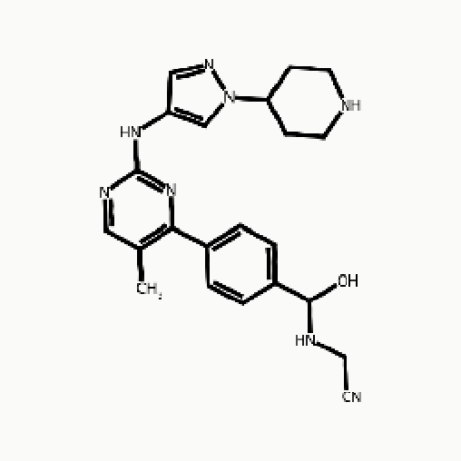 Cc1cnc(Nc2cnn(C3CCNCC3)c2)nc1-c1ccc(C(O)NCC#N)cc1